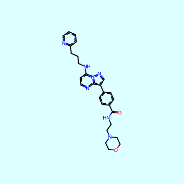 O=C(NCCN1CCOCC1)c1ccc(-c2cnn3c(NCCCc4ccccn4)ccnc23)cc1